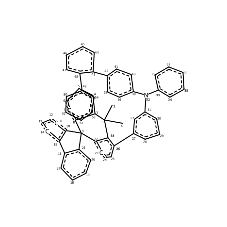 CC1(C)c2ccccc2C2(c3ccccc3-c3ccccc32)c2cccc(-c3cccc(N(c4ccccc4)c4ccc(-c5ccccc5-c5ccccc5)cc4)c3)c21